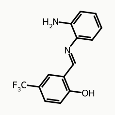 Nc1ccccc1N=Cc1cc(C(F)(F)F)ccc1O